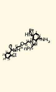 CCCc1nc2c(N)ncc(NCC)c2n1CCOCCNC(=O)c1ccccc1Cl